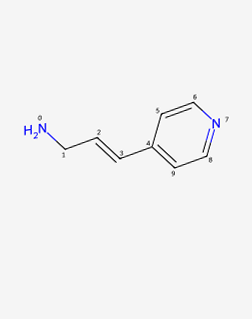 NC/C=C/c1ccncc1